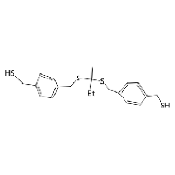 CCC(C)(SCc1ccc(CS)cc1)SCc1ccc(CS)cc1